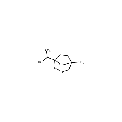 CC(O)C12CCC(C)(COO1)CO2